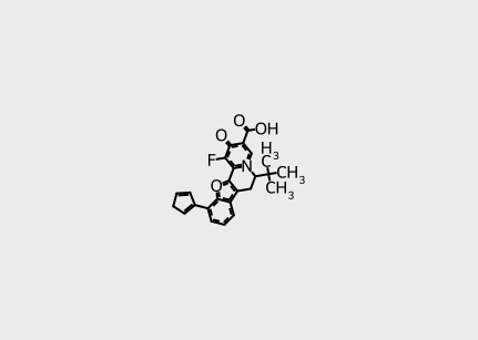 CC(C)(C)C1Cc2c(oc3c(C4=CCC=C4)cccc23)-c2c(F)c(=O)c(C(=O)O)cn21